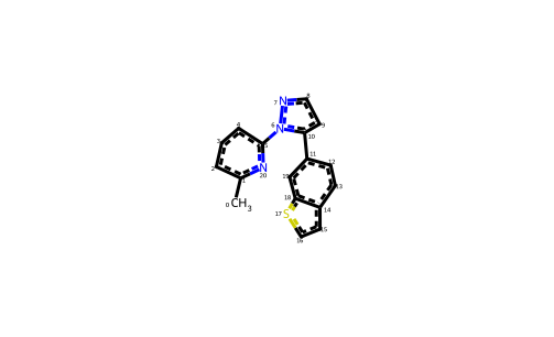 Cc1cccc(-n2nccc2-c2ccc3ccsc3c2)n1